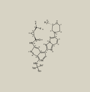 [2H]C([2H])([2H])Nc1ncc(-c2nc3ccc(N4CCO[C@@H](C)C4)cn3n2)c2cc(NC(=O)[C@H]3C[C@H]3C(F)F)ncc12